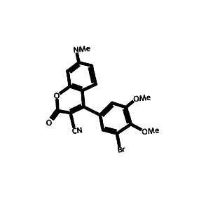 CNc1ccc2c(-c3cc(Br)c(OC)c(OC)c3)c(C#N)c(=O)oc2c1